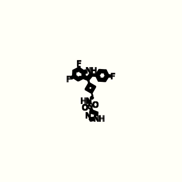 O=S(=O)(NC[C@H]1C[C@H](c2c(-c3ccc(F)cc3)[nH]c3c(F)cc(F)cc32)C1)c1c[nH]cn1